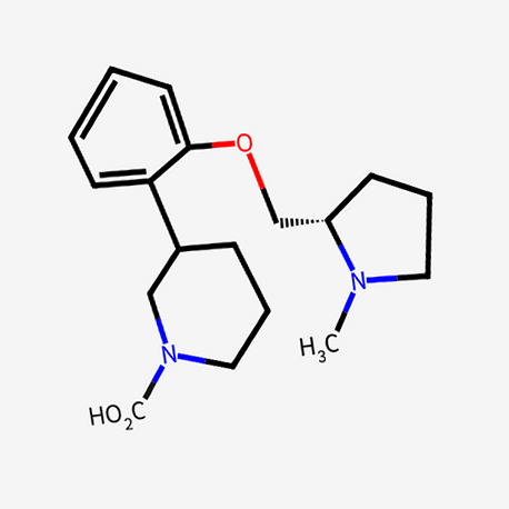 CN1CCC[C@H]1COc1ccccc1C1CCCN(C(=O)O)C1